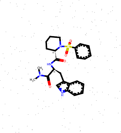 CN(C)C(=O)[C@H](Cc1c[nH]c2ccccc12)NC(=O)[C@@H]1CCCCN1S(=O)(=O)c1ccccc1